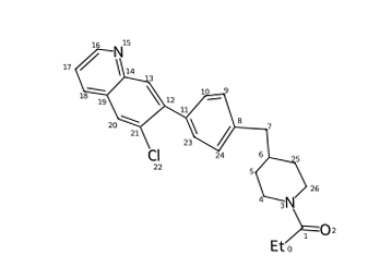 CCC(=O)N1CCC(Cc2ccc(-c3cc4ncccc4cc3Cl)cc2)CC1